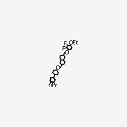 CCCc1ccc(C2CCC(OCC3CCC4CC(COc5ccc(OCC)c(F)c5F)CCC4C3)CC2)cc1